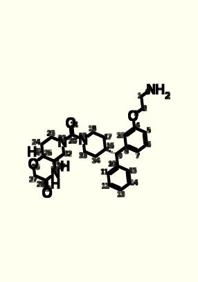 NCCOc1cccc([C@H](c2ccccc2)C2CCN(C(=O)N3CC[C@@H]4OCC(=O)N[C@@H]4C3)CC2)c1